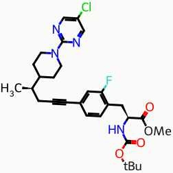 COC(=O)[C@H](Cc1ccc(C#CC[C@@H](C)C2CCN(c3ncc(Cl)cn3)CC2)cc1F)NC(=O)OC(C)(C)C